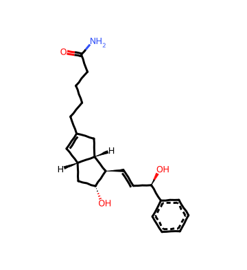 NC(=O)CCCCC1=C[C@H]2C[C@@H](O)[C@H](/C=C/[C@@H](O)c3ccccc3)[C@H]2C1